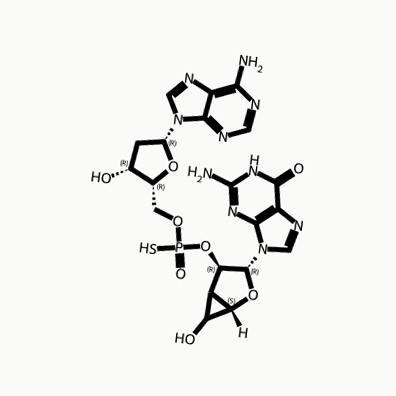 Nc1nc2c(ncn2[C@@H]2O[C@@H]3C(O)C3[C@H]2OP(=O)(S)OC[C@H]2O[C@@H](n3cnc4c(N)ncnc43)C[C@H]2O)c(=O)[nH]1